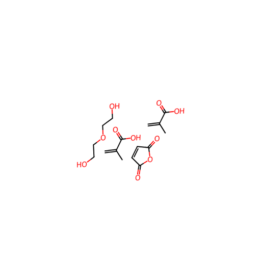 C=C(C)C(=O)O.C=C(C)C(=O)O.O=C1C=CC(=O)O1.OCCOCCO